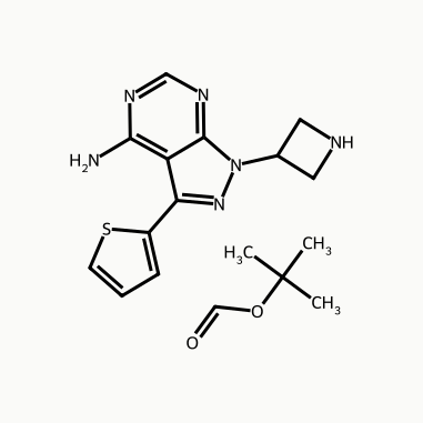 CC(C)(C)OC=O.Nc1ncnc2c1c(-c1cccs1)nn2C1CNC1